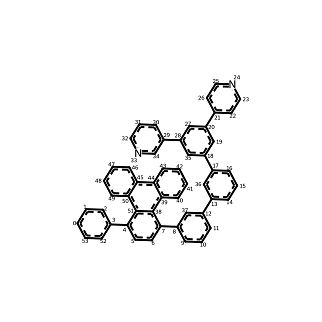 c1ccc(-c2ccc(-c3cccc(-c4cccc(-c5cc(-c6ccncc6)cc(-c6cccnc6)c5)c4)c3)c3c4ccccc4c4ccccc4c23)cc1